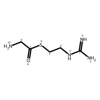 N=C(N)NCCSC(=O)CN